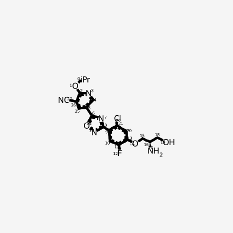 CC(C)Oc1ncc(-c2nc(-c3cc(F)c(OC[C@H](N)CO)cc3Cl)no2)cc1C#N